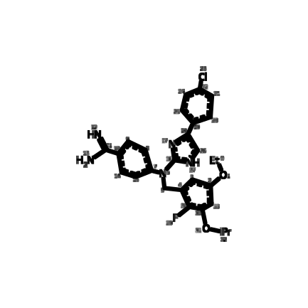 CCOc1cc(CN(c2ccc(C(=N)N)cc2)c2nc(-c3ccc(Cl)cc3)c[nH]2)c(F)c(OC(C)C)c1